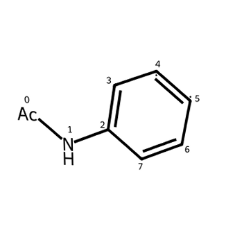 CC(=O)Nc1c[c][c]cc1